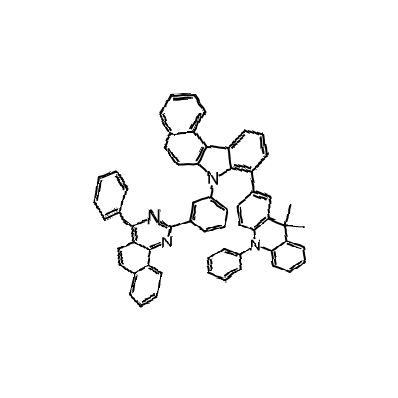 CC1(C)c2ccccc2N(c2ccccc2)c2ccc(-c3cccc4c5c6ccccc6ccc5n(-c5cccc(-c6nc(-c7ccccc7)c7ccc8ccccc8c7n6)c5)c34)cc21